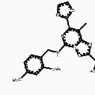 COc1ccc(CNc2nc(-c3ncco3)c(C)c3nc(CO)nn23)c(OC)c1